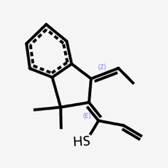 C=C/C(S)=C1\C(=C/C)c2ccccc2C1(C)C